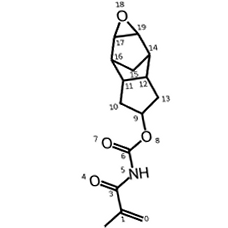 C=C(C)C(=O)NC(=O)OC1CC2C(C1)C1CC2C2OC12